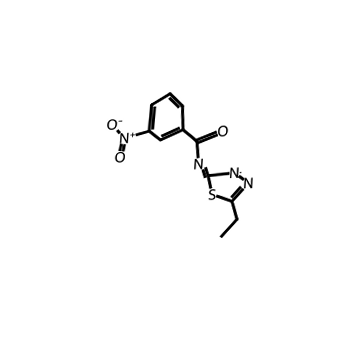 CCC1=N[N]C(=NC(=O)c2cccc([N+](=O)[O-])c2)S1